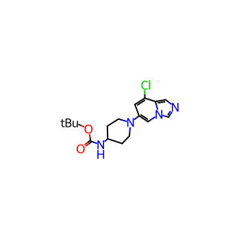 CC(C)(C)OC(=O)NC1CCN(c2cc(Cl)c3cncn3c2)CC1